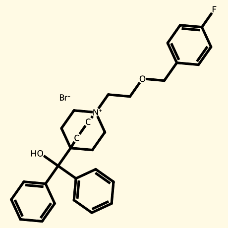 OC(c1ccccc1)(c1ccccc1)C12CC[N+](CCOCc3ccc(F)cc3)(CC1)CC2.[Br-]